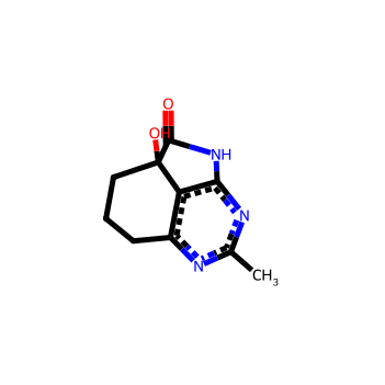 Cc1nc2c3c(n1)NC(=O)C3(O)CCC2